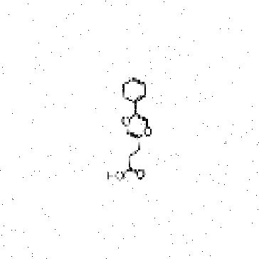 O=C(O)CCC1=COC(C2=CC=CCC2)=CO1